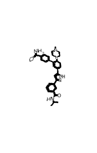 CC(C)NC(=O)c1cccc(-c2cc(-c3ccc(N4CCN(C)CC4)c(-c4ccc(C(N)=O)cc4)c3)[nH]n2)c1